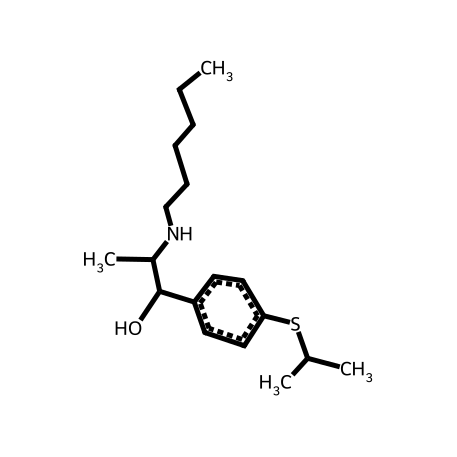 CCCCCCNC(C)C(O)c1ccc(SC(C)C)cc1